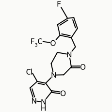 O=C1CN(c2c(Cl)cn[nH]c2=O)CCN1Cc1ccc(F)cc1OC(F)(F)F